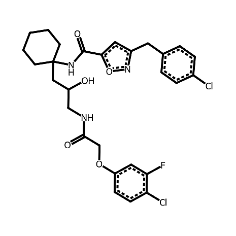 O=C(COc1ccc(Cl)c(F)c1)NCC(O)CC1(NC(=O)c2cc(Cc3ccc(Cl)cc3)no2)CCCCC1